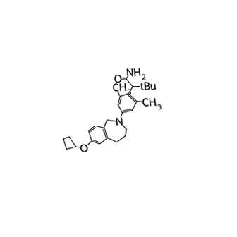 Cc1cc(N2CCCc3cc(OC4CCC4)ccc3C2)cc(C)c1C(C(N)=O)C(C)(C)C